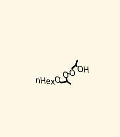 CCCCCCOCC(C)OOCC(C)O